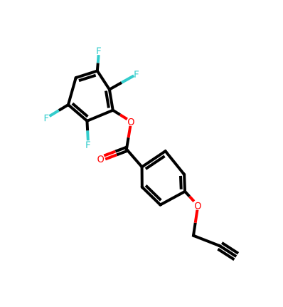 C#CCOc1ccc(C(=O)Oc2c(F)c(F)cc(F)c2F)cc1